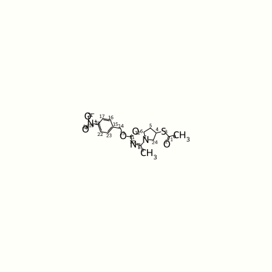 CC(=O)SC1CCN(C(C)=NC(=O)OCc2ccc([N+](=O)[O-])cc2)C1